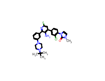 Cn1ccn(-c2ccc(-c3cc(F)nc(-c4cccc(N5CCN(C(C)(C)C)CC5)c4)c3N)cc2Cl)c1=O